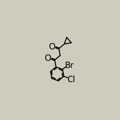 O=C(CC(=O)C1CC1)c1cccc(Cl)c1Br